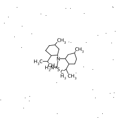 CC1CCC(C(C)C)C(N(C(N)=S)C2CC(C)CCC2C(C)C)C1